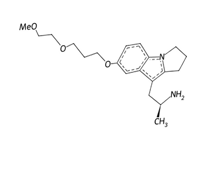 COCCOCCCOc1ccc2c(c1)c(C[C@H](C)N)c1n2CCC1